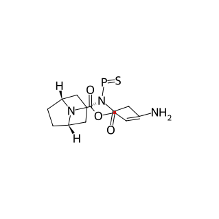 C=CCOC(=O)N1[C@@H]2CC[C@H]1C[C@@H](N(P=S)C(=O)CCN)C2